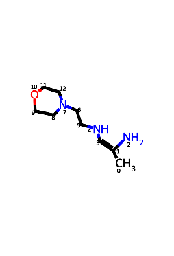 C/C(N)=C/NCCN1CCOCC1